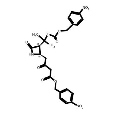 CC(C)(OC(=O)OCc1ccc([N+](=O)[O-])cc1)[C@@H]1C(=O)N[C@@H]1CC(=O)CC(=O)OCc1ccc([N+](=O)[O-])cc1